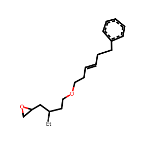 CCC(CCOCC/C=C/CCc1ccccc1)CC1CO1